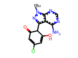 CC(C)(C)n1nc(C2C(=O)C=C(Cl)C=C2O)c2c(N)ncnc21